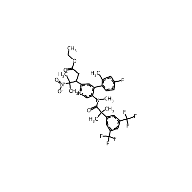 CCOC(=O)CC(c1cc(-c2ccc(F)cc2C)c(N(C)C(=O)C(C)(C)c2cc(C(F)(F)F)cc(C(F)(F)F)c2)cn1)C(C)(C)[N+](=O)[O-]